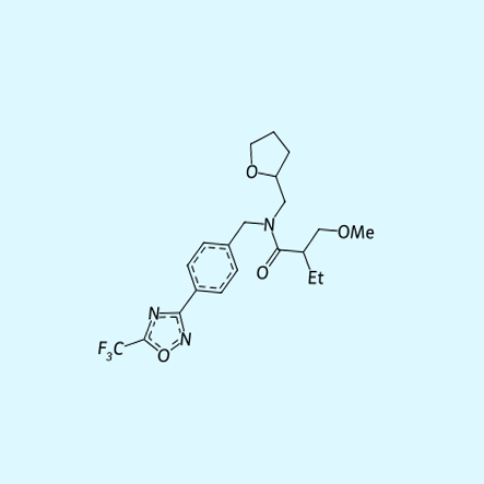 CCC(COC)C(=O)N(Cc1ccc(-c2noc(C(F)(F)F)n2)cc1)CC1CCCO1